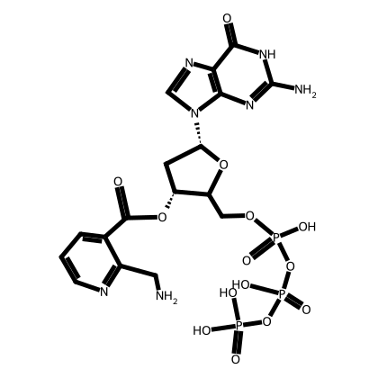 NCc1ncccc1C(=O)O[C@@H]1C[C@H](n2cnc3c(=O)[nH]c(N)nc32)OC1COP(=O)(O)OP(=O)(O)OP(=O)(O)O